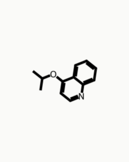 CC(C)Oc1ccnc2ccccc12